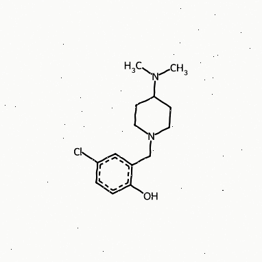 CN(C)C1CCN(Cc2cc(Cl)ccc2O)CC1